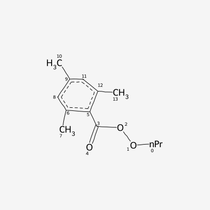 [CH2]CCOOC(=O)c1c(C)cc(C)cc1C